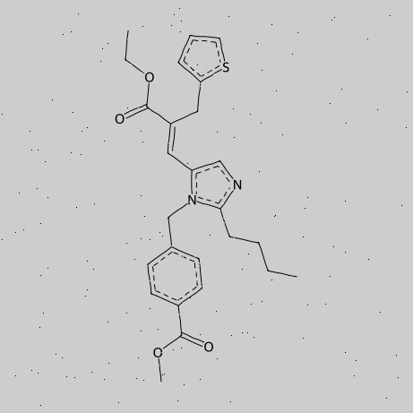 CCCCc1ncc(/C=C(\Cc2cccs2)C(=O)OCC)n1Cc1ccc(C(=O)OC)cc1